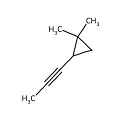 CC#CC1CC1(C)C